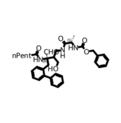 CCCCCC(=O)N[C@]([C]=O)(Cc1ccccc1-c1ccccc1)C(CO)CNC(=O)[C@H](C)NC(=O)OCc1ccccc1